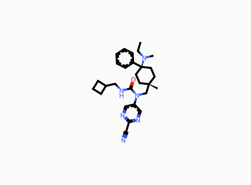 CCN(C)[C@]1(c2ccccc2)CC[C@@](C)(CN(C(=O)NCC2CCC2)c2cnc(C#N)nc2)CC1